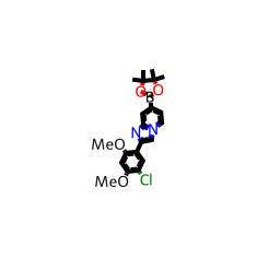 COc1cc(OC)c(-c2cn3ccc(B4OC(C)(C)C(C)(C)O4)cc3n2)cc1Cl